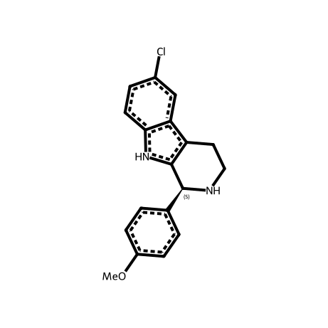 COc1ccc([C@@H]2NCCc3c2[nH]c2ccc(Cl)cc32)cc1